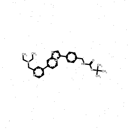 CCN(CC)Cc1cc(-c2ccn3c(-c4ccc(CNC(=O)OC(C)(C)C)cc4)cnc3c2)ccn1